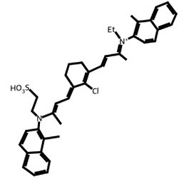 CC/[N+](=C(C)\C=C\C1=C(Cl)C(=C/C=C(\C)N(CCS(=O)(=O)O)c2ccc3ccccc3c2C)/CCC1)c1ccc2ccccc2c1C